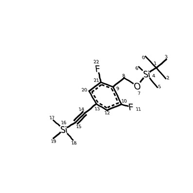 CC(C)(C)[Si](C)(C)OCc1c(F)cc(C#C[Si](C)(C)C)cc1F